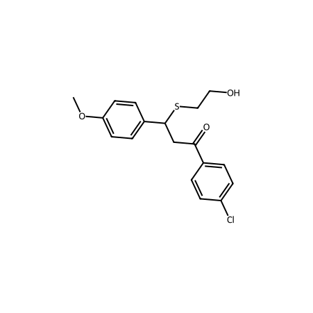 COc1ccc(C(CC(=O)c2ccc(Cl)cc2)SCCO)cc1